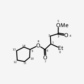 CCC(CC(=O)OC)C(=O)OC1CCCCC1